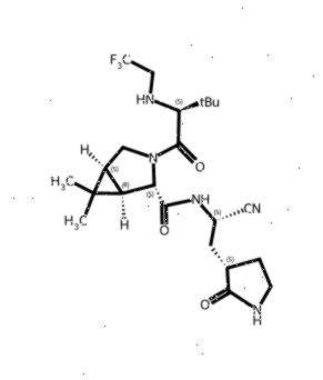 CC(C)(C)[C@H](NCC(F)(F)F)C(=O)N1C[C@H]2[C@@H]([C@H]1C(=O)N[C@H](C#N)C[C@@H]1CCNC1=O)C2(C)C